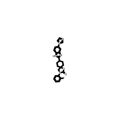 O=C1OC2(CCC(c3nc4cc(-n5ccnc5)ccc4[nH]3)CC2)CN1c1ccccc1F